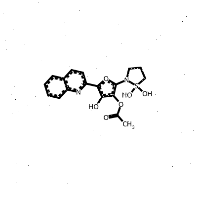 CC(=O)Oc1c(N2CCCS2(O)O)oc(-c2ccc3ccccc3n2)c1O